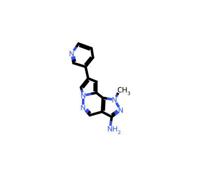 Cn1nc(N)c2cnn3cc(-c4cccnc4)cc3c21